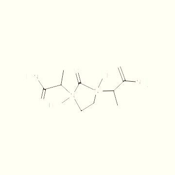 CC(C(N)=O)[N+]1(C)CC[N+](C)(C(C)C(N)=O)C1=O